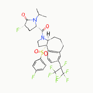 CC(C)N1C(=O)[C@@H](F)C[C@H]1C(=O)N1CC[C@]2(S(=O)(=O)c3ccc(F)cc3)c3ccc(C(F)(C(F)(F)F)C(F)(F)F)cc3CCC[C@H]12